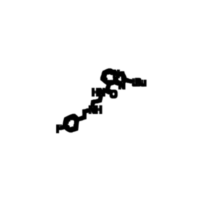 CC(C)(C)c1cn2cccc(C(=O)NCCNCCc3ccc(F)cc3)c2n1